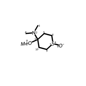 COC1(N(C)C)CC[S+]([O-])CC1